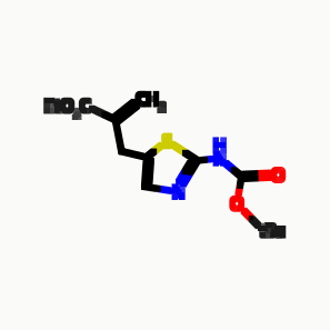 C=C(Cc1cnc(NC(=O)OC(C)(C)C)s1)C(=O)OCC